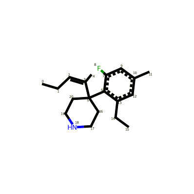 CC/C=C(/C)C1(c2c(F)cc(C)cc2CC)CCNCC1